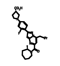 CC(C)Cc1cc(C(=O)N2CCCCC[C@H]2C)nc2cc(-c3ccc(N4CC[C@H](C(=O)O)C4)cc3F)nn12